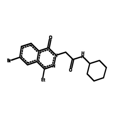 CCc1nn(CC(=O)NC2CCCCC2)c(=O)c2ccc(Br)cc12